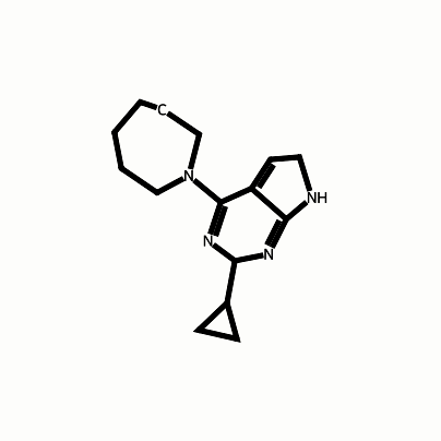 C1=C2C(=NC(C3CC3)N=C2N2CCCCCC2)NC1